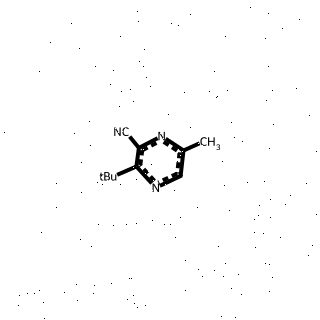 Cc1cnc(C(C)(C)C)c(C#N)n1